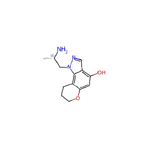 C[C@H](N)Cn1n[c]c2c(O)cc3c(c21)CCCO3